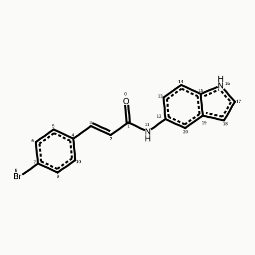 O=C(/C=C/c1ccc(Br)cc1)Nc1ccc2[nH]ccc2c1